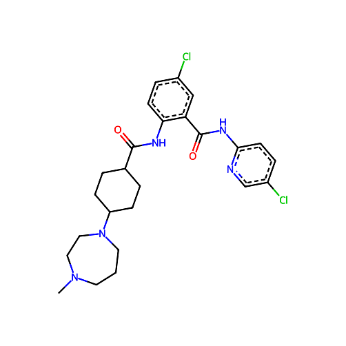 CN1CCCN(C2CCC(C(=O)Nc3ccc(Cl)cc3C(=O)Nc3ccc(Cl)cn3)CC2)CC1